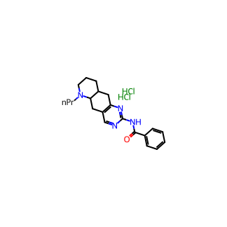 CCCN1CCCC2Cc3nc(NC(=O)c4ccccc4)ncc3CC21.Cl.Cl